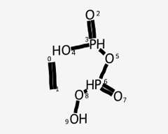 C=C.O=[PH](O)O[PH](=O)OO